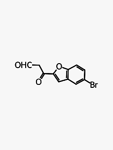 O=CCC(=O)c1cc2cc(Br)ccc2o1